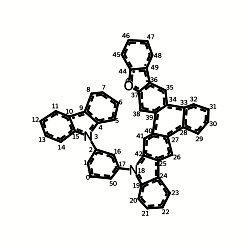 c1cc(-n2c3ccccc3c3ccccc32)cc(-n2c3ccccc3c3cc4c5ccccc5c5cc6c(cc5c4cc32)oc2ccccc26)c1